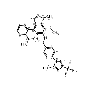 CCc1c(NCc2ccc(-n3nc(C(F)(F)F)cc3C)cc2)nc(-c2ccccc2C(C)C)c2ncn(C)c12